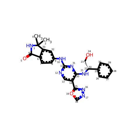 CC1(C)NC(=O)c2ccc(Nc3ncc(-c4nnco4)c(N[C@H](CO)c4ccccc4)n3)cc21